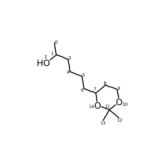 CC(O)CCCCC1CCOC(C)(C)O1